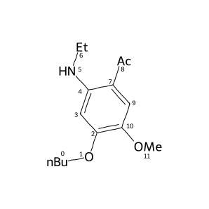 CCCCOc1cc(NCC)c(C(C)=O)cc1OC